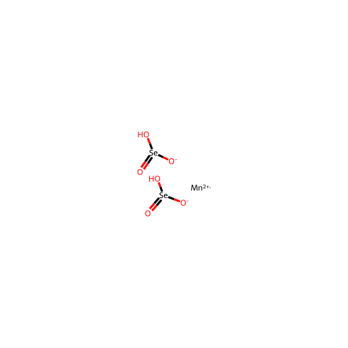 O=[Se]([O-])O.O=[Se]([O-])O.[Mn+2]